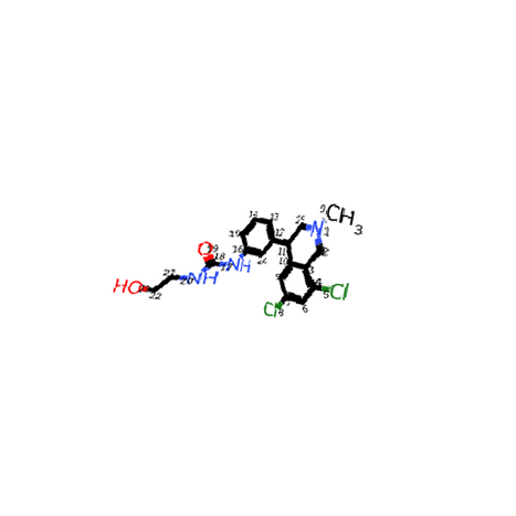 CN1Cc2c(Cl)cc(Cl)cc2C(c2cccc(NC(=O)NCCO)c2)C1